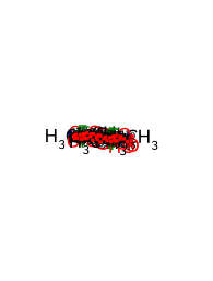 Cc1cc(C(=O)O)cc(N2C(=O)c3ccc(C(c4ccc5c(c4)C(=O)N(c4c(C)c(C)c(N6C(=O)c7ccc(C(c8ccc9c(c8)C(=O)N(C)C9=O)(C(F)(F)F)C(F)(F)F)cc7C6=O)c(C)c4C)C5=O)(C(F)(F)F)C(F)(F)F)cc3C2=O)c1